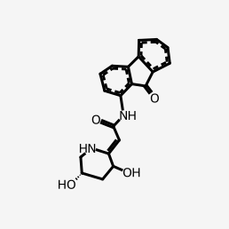 O=C(/C=C1\NC[C@@H](O)CC1O)Nc1cccc2c1C(=O)c1ccccc1-2